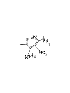 Cc1cnc(N)c([N+](=O)[O-])c1N